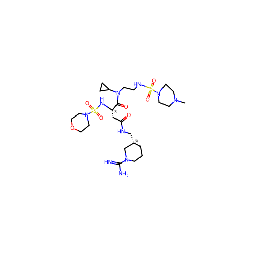 CN1CCN(S(=O)(=O)NCCN(C(=O)[C@H](CC(=O)NC[C@@H]2CCCN(C(=N)N)C2)NS(=O)(=O)N2CCOCC2)C2CC2)CC1